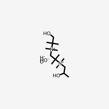 CC(O)C[N+](C)(C)C(C)(C)C[N+](C)(C)C(C)(C)CO.[OH-].[OH-]